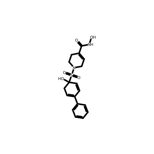 O=C(NO)C1=CCN(S(=O)(=O)C2(O)C=CC(c3ccccc3)=CC2)CC1